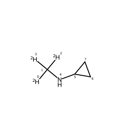 [2H]C([2H])([2H])NC1CC1